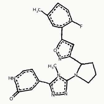 Cc1ccc(F)c(-c2cc(C3CCCN3c3nnc(-c4cc[nH]c(=O)c4)n3C)no2)c1